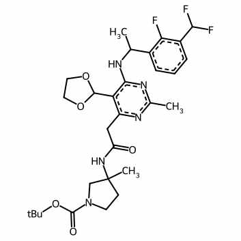 Cc1nc(CC(=O)NC2(C)CCN(C(=O)OC(C)(C)C)C2)c(C2OCCO2)c(NC(C)c2cccc(C(F)F)c2F)n1